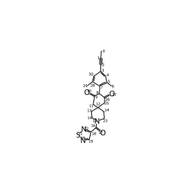 CC#Cc1cc(C)c(C2C(=O)CC3(CCN(C(=O)c4cnsn4)CC3)CC2=O)c(C)c1